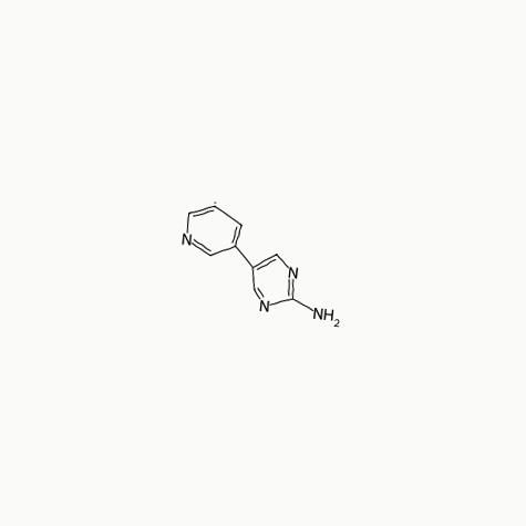 Nc1ncc(-c2c[c]cnc2)cn1